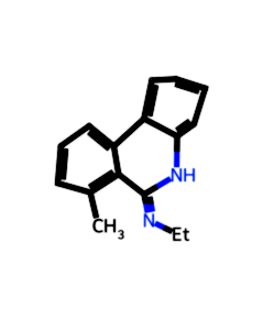 CC/N=c1\[nH]c2ccccc2c2cccc(C)c12